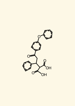 O=C(CC(c1ccccc1)C(C(=O)O)C(=O)O)c1ccc(Oc2ccccc2)cc1